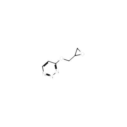 c1cc(OCC2CO2)nnn1